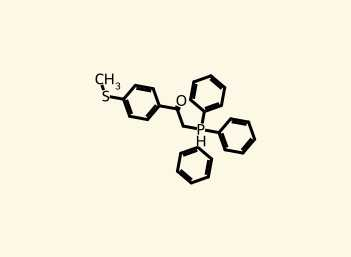 CSc1ccc(C(=O)C[PH](c2ccccc2)(c2ccccc2)c2ccccc2)cc1